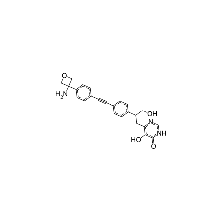 NC1(c2ccc(C#Cc3ccc(C(CO)Cc4nc[nH]c(=O)c4O)cc3)cc2)COC1